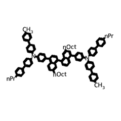 CCCCCCCCc1ccc2c(-c3ccc(N(c4ccc(-c5ccc(C)cc5)cc4)c4ccc(-c5ccc(CCC)cc5)cc4)cc3)ccc(-c3cccc4c(-c5ccc(N(c6ccc(-c7ccc(C)cc7)cc6)c6ccc(-c7ccc(CCC)cc7)cc6)cc5)cc(CCCCCCCC)cc34)c2c1